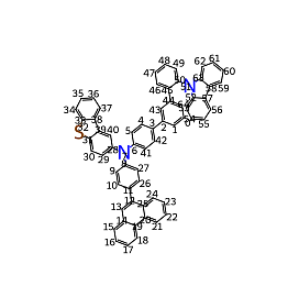 c1cc(-c2ccc(N(c3ccc(-c4cc5ccccc5c5ccccc45)cc3)c3ccc4sc5ccccc5c4c3)cc2)cc(-c2ccccc2-n2c3ccccc3c3ccccc32)c1